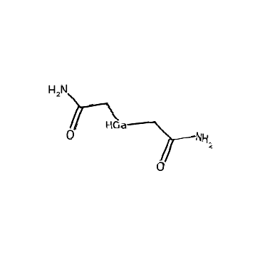 NC(=O)[CH2][GaH][CH2]C(N)=O